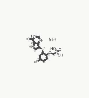 O=c1[nH]cnc2c(Sc3cc(F)ccc3OCP(=O)(O)O)c[nH]c12.[NaH]